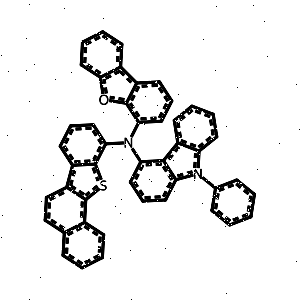 c1ccc(-n2c3ccccc3c3c(N(c4cccc5c4oc4ccccc45)c4cccc5c4sc4c6ccccc6ccc54)cccc32)cc1